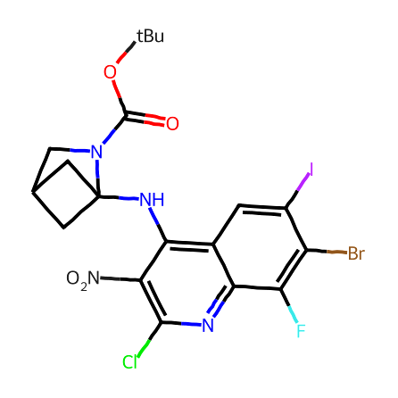 CC(C)(C)OC(=O)N1CC2CC1(Nc1c([N+](=O)[O-])c(Cl)nc3c(F)c(Br)c(I)cc13)C2